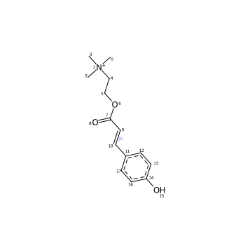 C[N+](C)(C)CCOC(=O)/C=C/c1ccc(O)cc1